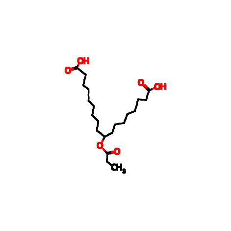 CCC(=O)OC(CCCCCCCCC(=O)O)CCCCCCCC(=O)O